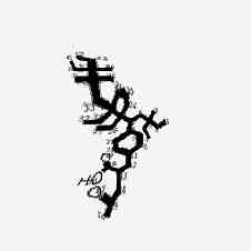 CCC(C)(CC)CC(c1ccc(CC(CC(C)=O)C(=O)O)cc1)C(CC)(CC)C(CC)(CC)CC(C)(C)C(C)(CC)CC